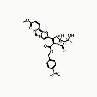 COC(=O)/C=C\c1ncn2cc(C3=C(C(=O)OCc4ccc([N+](=O)[O-])cc4)N4C(=O)[C@H]([C@@H](C)O)[C@H]4[C@H]3C)sc12